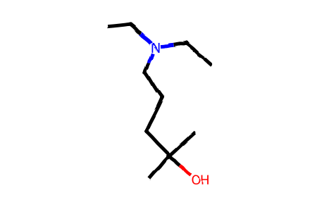 CCN(CC)CCCC(C)(C)O